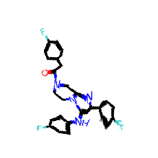 O=C(Cc1ccc(F)cc1)N1CCn2c(nc(-c3ccc(F)cc3)c2Nc2ccc(F)cc2)C1